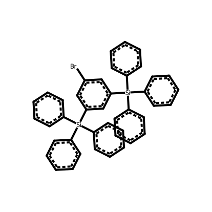 Brc1cc([Si](c2ccccc2)(c2ccccc2)c2ccccc2)cc([Si](c2ccccc2)(c2ccccc2)c2ccccc2)c1